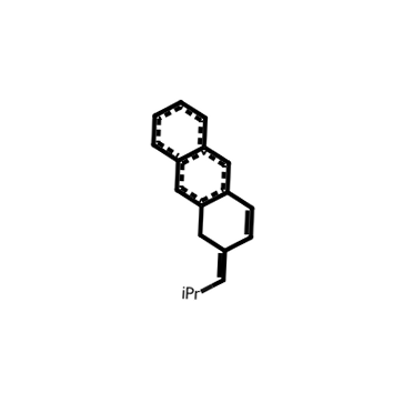 CC(C)C=C1C=Cc2cc3ccccc3cc2C1